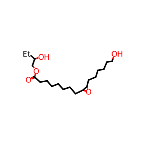 CCC(O)COC(=O)CCCCCCCC1OC1CCCCCCO